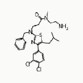 CC(C)Cc1sc(N(CCC(=O)N(C)CCN)Cc2ccccc2)nc1-c1ccc(Cl)c(Cl)c1